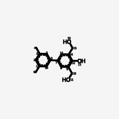 Cc1cc(C)cc(-c2cc(CO)c(O)c(CO)c2)c1